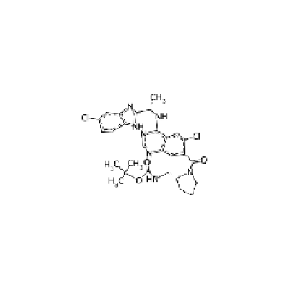 C[C@H](Nc1ncnc2cc(C(=O)N3CCC[C@@H]3CNC(=O)OC(C)(C)C)c(Cl)cc12)c1nc2cc(Cl)ccc2[nH]1